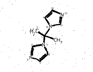 [CH2]C(C)(n1ccnc1)n1ccnc1